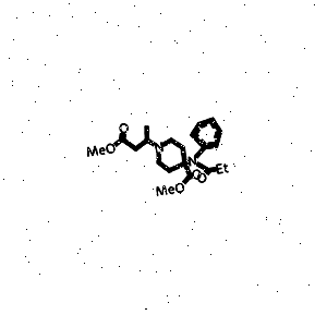 CCC(=O)N(c1ccccc1)C1(C(=O)OC)CCN(C(C)CC(=O)OC)CC1